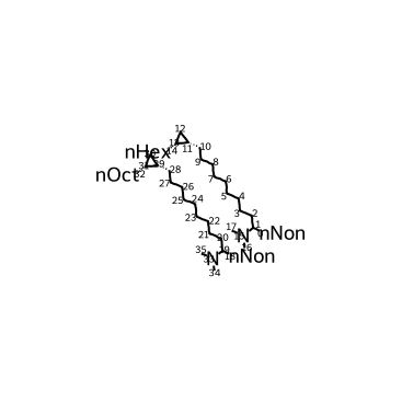 CCCCCCCCCC(CCCCCCCCC[C@H]1C[C@H]1CCCCCC)N(C)C.CCCCCCCCCC(CCCCCCCCC[C@H]1C[C@H]1CCCCCCCC)N(C)C